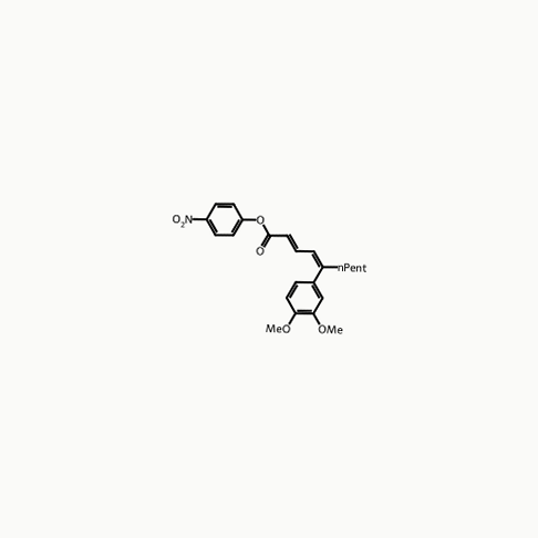 CCCCCC(=CC=CC(=O)Oc1ccc([N+](=O)[O-])cc1)c1ccc(OC)c(OC)c1